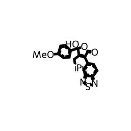 COc1ccc(C2(O)OC(=O)C(c3ccc4nsnc4c3)=C2CC(C)C)cc1